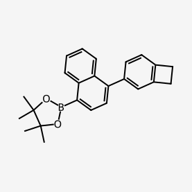 CC1(C)OB(c2ccc(-c3ccc4c(c3)CC4)c3ccccc23)OC1(C)C